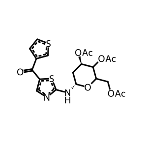 CC(=O)OCC1O[C@H](Nc2ncc(C(=O)c3ccsc3)s2)C[C@@H](OC(C)=O)C1OC(C)=O